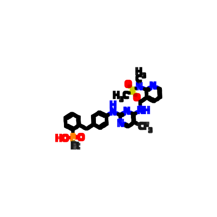 CCP(=O)(O)c1ccccc1Cc1ccc(Nc2ncc(C(F)(F)F)c(NCc3cccnc3N(C)S(C)(=O)=O)n2)cc1